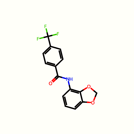 O=C(Nc1cccc2c1OCO2)c1ccc(C(F)(F)F)cc1